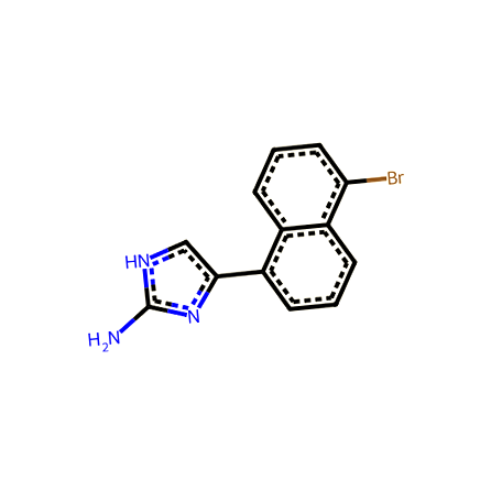 Nc1nc(-c2cccc3c(Br)cccc23)c[nH]1